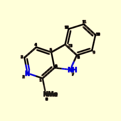 CNc1nccc2c1[nH]c1ccccc12